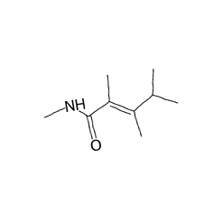 CNC(=O)/C(C)=C(\C)C(C)C